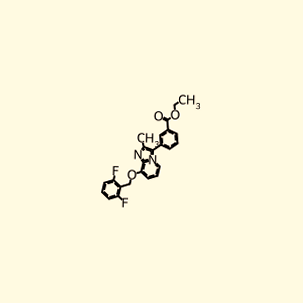 CCOC(=O)c1cccc(-c2c(C)nc3c(OCc4c(F)cccc4F)cccn23)c1